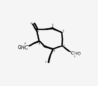 C=C1CCC(C=O)C(C)C1C=O